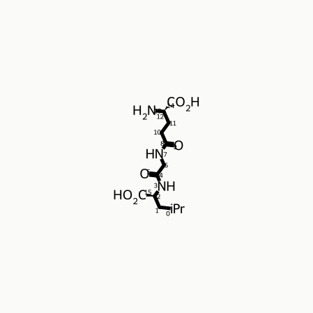 CC(C)C[C@H](NC(=O)CNC(=O)CC[C@H](N)C(=O)O)C(=O)O